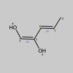 C/C=C/C(O)=[C]\O